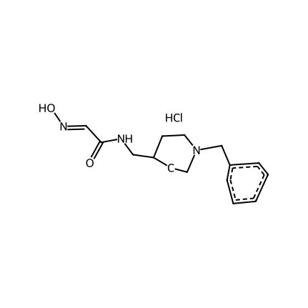 Cl.O=C(C=NO)NCC1CCN(Cc2ccccc2)CC1